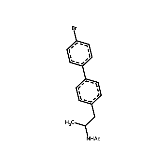 CC(=O)NC(C)Cc1ccc(-c2ccc(Br)cc2)cc1